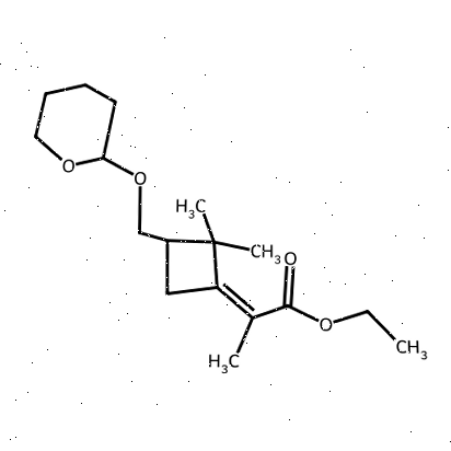 CCOC(=O)C(C)=C1CC(COC2CCCCO2)C1(C)C